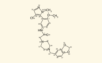 COc1ccc(NC(=O)CN2CCN(Cc3ccc4c(c3)OCO4)CC2)cc1-c1c(Cl)cnn1C